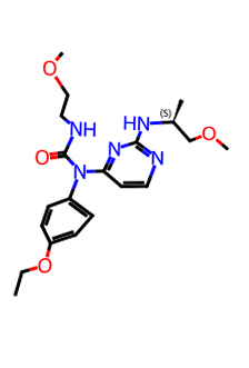 CCOc1ccc(N(C(=O)NCCOC)c2ccnc(N[C@@H](C)COC)n2)cc1